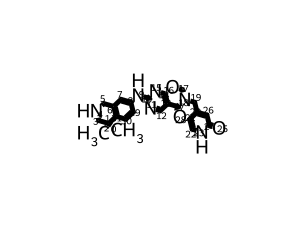 CC1(C)CNCc2cc(Nc3ncc4c(n3)OCN(Cc3cc[nH]c(=O)c3)C4=O)ccc21